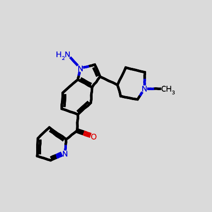 CN1CCC(c2cn(N)c3ccc(C(=O)c4ccccn4)cc23)CC1